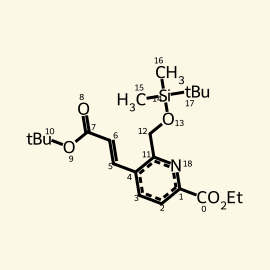 CCOC(=O)c1ccc(C=CC(=O)OC(C)(C)C)c(CO[Si](C)(C)C(C)(C)C)n1